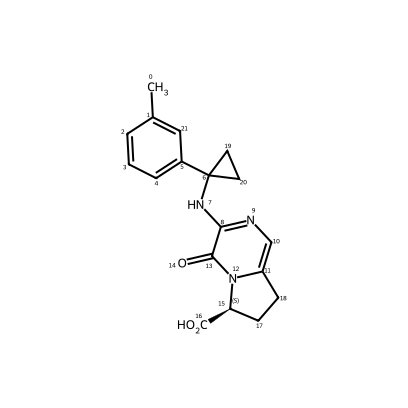 Cc1cccc(C2(Nc3ncc4n(c3=O)[C@H](C(=O)O)CC4)CC2)c1